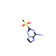 CS(=O)(=O)c1nc(N)c2nccn2n1